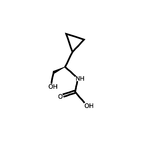 O=C(O)N[C@@H](CO)C1CC1